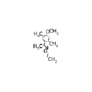 CCCON=C(C)c1cc(C)c(OC)cc1C